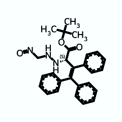 CC(C)(C)OC(=O)[C@@H](NNCN=O)C(=C(c1ccccc1)c1ccccc1)c1ccccc1